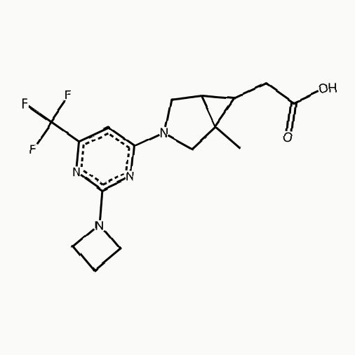 CC12CN(c3cc(C(F)(F)F)nc(N4CCC4)n3)CC1C2CC(=O)O